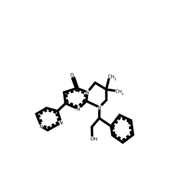 CC1(C)CN(C(CO)c2ccccc2)c2nc(-c3ccncn3)cc(=O)n2C1